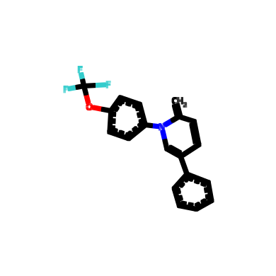 C=C1C=CC(c2ccccc2)=CN1c1ccc(OC(F)(F)F)cc1